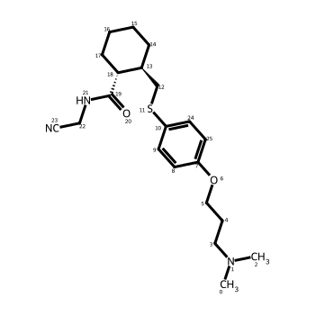 CN(C)CCCOc1ccc(SC[C@@H]2CCCC[C@H]2C(=O)NCC#N)cc1